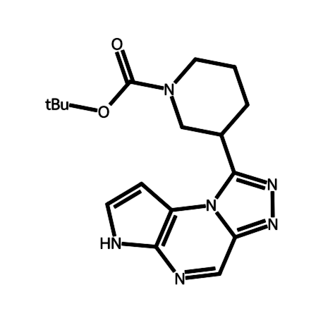 CC(C)(C)OC(=O)N1CCCC(c2nnc3cnc4[nH]ccc4n23)C1